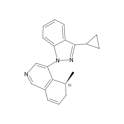 C[C@H]1CC=Cc2cncc(-n3nc(C4CC4)c4ccccc43)c21